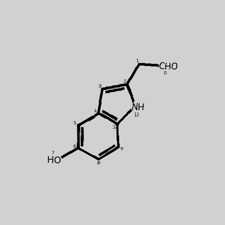 O=CCc1cc2cc(O)ccc2[nH]1